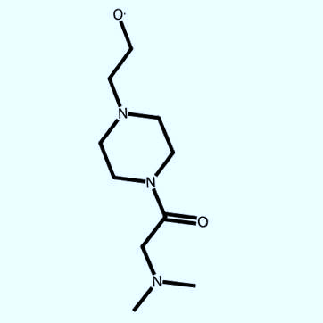 CN(C)CC(=O)N1CCN(CC[O])CC1